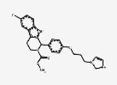 COC(=O)N1CCc2c([nH]c3ccc(Cl)cc23)C1c1ccc(OCCCN2C=CNC2)cc1